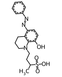 CC(CCN1CCCc2c(/N=N/c3ccccc3)ccc(O)c21)S(=O)(=O)O